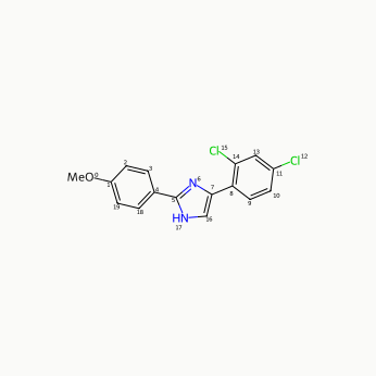 COc1ccc(-c2nc(-c3ccc(Cl)cc3Cl)c[nH]2)cc1